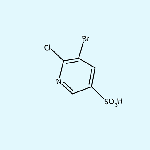 O=S(=O)(O)c1cnc(Cl)c(Br)c1